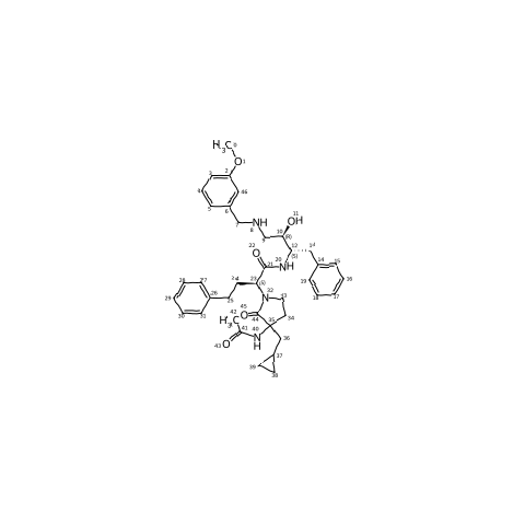 COc1cccc(CNC[C@@H](O)[C@H](Cc2ccccc2)NC(=O)[C@H](CCc2ccccc2)N2CCC(CC3CC3)(NC(C)=O)C2=O)c1